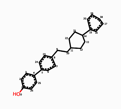 Oc1ccc(-c2ccc(CCC3CCC(c4ccccc4)CC3)cc2)cc1